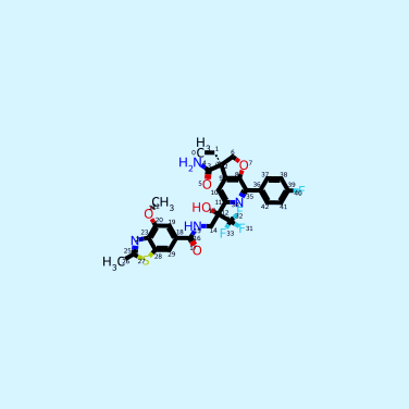 CC[C@]1(C(N)=O)COc2c1cc(C(O)(CNC(=O)c1cc(OC)c3nc(C)sc3c1)C(F)(F)F)nc2-c1ccc(F)cc1